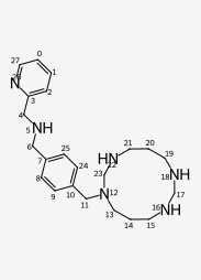 c1ccc(CNCc2ccc(CN3CCCNCNCCCNC3)cc2)nc1